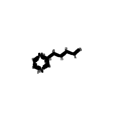 [CH2]CCCCc1cnccn1